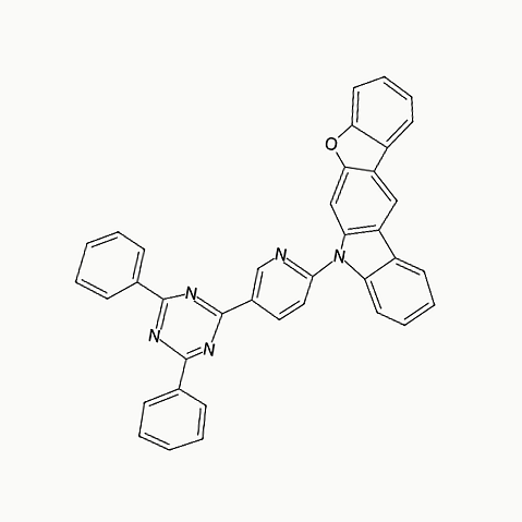 c1ccc(-c2nc(-c3ccccc3)nc(-c3ccc(-n4c5ccccc5c5cc6c(cc54)oc4ccccc46)nc3)n2)cc1